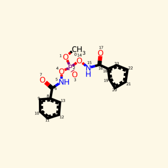 COP(=O)(ONC(=O)c1ccccc1)ONC(=O)c1ccccc1